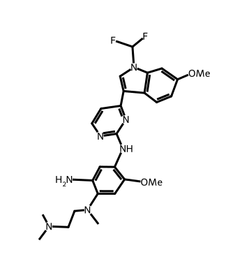 COc1ccc2c(-c3ccnc(Nc4cc(N)c(N(C)CCN(C)C)cc4OC)n3)cn(C(F)F)c2c1